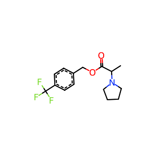 CC(C(=O)OCc1ccc(C(F)(F)F)cc1)N1CCCC1